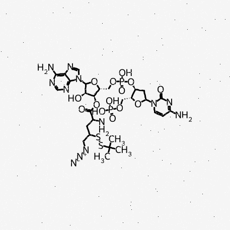 CC(C)(C)SSC(CN=[N+]=[N-])CC(N)C(=O)O[C@@H]1[C@@H](COP(=O)(O)O[C@H]2CC(n3ccc(N)nc3=O)O[C@@H]2COP(=O)(O)O)OC(n2cnc3c(N)ncnc32)[C@@H]1O